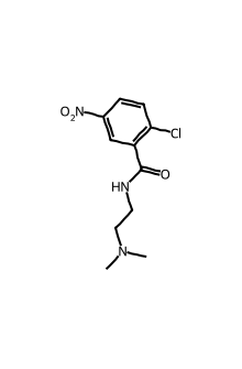 CN(C)CCNC(=O)c1cc([N+](=O)[O-])ccc1Cl